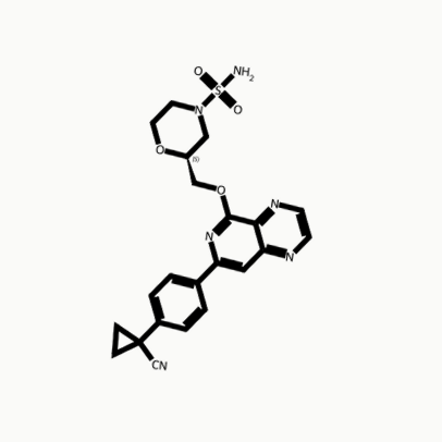 N#CC1(c2ccc(-c3cc4nccnc4c(OC[C@@H]4CN(S(N)(=O)=O)CCO4)n3)cc2)CC1